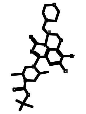 CC1CN(c2nc(=O)n3c4c(c(Br)c(Cl)cc24)OC[C@@H]3CN2CCOCC2)C(C)CN1C(=O)OC(C)(C)C